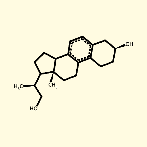 C[C@H](CO)C1CCC2c3ccc4c(c3CC[C@@]21C)CC[C@H](O)C4